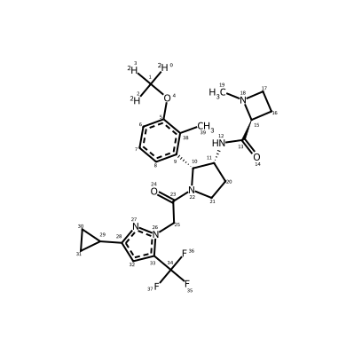 [2H]C([2H])([2H])Oc1cccc([C@@H]2[C@H](NC(=O)[C@@H]3CCN3C)CCN2C(=O)Cn2nc(C3CC3)cc2C(F)(F)F)c1C